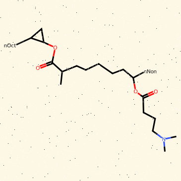 CCCCCCCCCC(CCCCCC(C)C(=O)OC1CC1CCCCCCCC)OC(=O)CCCN(C)C